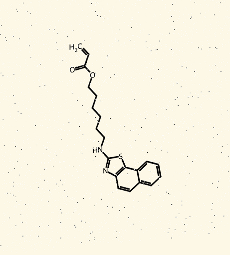 C=CC(=O)OCCCCCCNc1nc2ccc3ccccc3c2s1